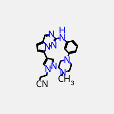 CN1CCN(c2cccc(Nc3ncc4ccc(-c5cnn(CCC#N)c5)n4n3)c2)CC1